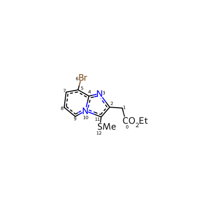 CCOC(=O)Cc1nc2c(Br)cccn2c1SC